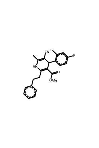 COC(=O)C1=C(CCc2ccccc2)NC(C)=C(C#N)C1c1ccc(F)cc1Cl